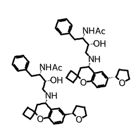 CC(=O)N[C@@H](Cc1ccccc1)[C@H](O)CN[C@H]1CC2(CCC2)Oc2ccc([C@@H]3CCCO3)cc21.CC(=O)N[C@@H](Cc1ccccc1)[C@H](O)CN[C@H]1CC2(CCC2)Oc2ccc([C@H]3CCCO3)cc21